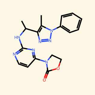 Cc1c(C(C)Nc2nccc(N3CCOC3=O)n2)nnn1-c1ccccc1